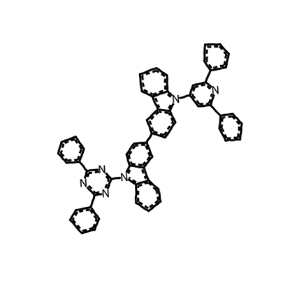 c1ccc(-c2cc(-n3c4ccccc4c4cc(-c5ccc6c(c5)c5ccccc5n6-c5nc(-c6ccccc6)nc(-c6ccccc6)n5)ccc43)cc(-c3ccccc3)n2)cc1